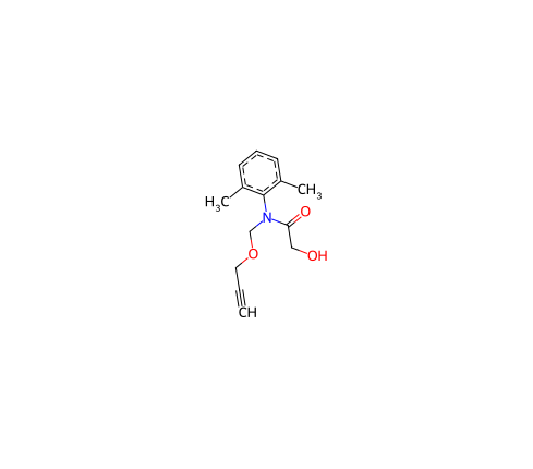 C#CCOCN(C(=O)CO)c1c(C)cccc1C